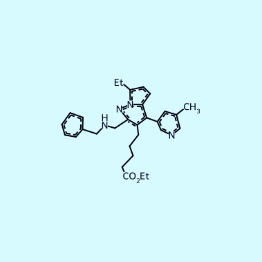 CCOC(=O)CCCCc1c(CNCc2ccccc2)nn2c(CC)ccc2c1-c1cncc(C)c1